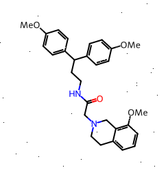 COc1ccc(C(CCNC(=O)CN2CCc3cccc(OC)c3C2)c2ccc(OC)cc2)cc1